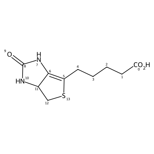 O=C(O)CCCCC1=C2NC(=O)NC2CS1